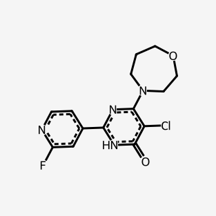 O=c1[nH]c(-c2ccnc(F)c2)nc(N2CCCOCC2)c1Cl